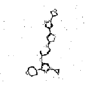 C=C(/C=C\N=C1\C=C(c2cnn(C3COC3)c2)SC1)Oc1cn(C2CC2)nc1C1CCOCC1